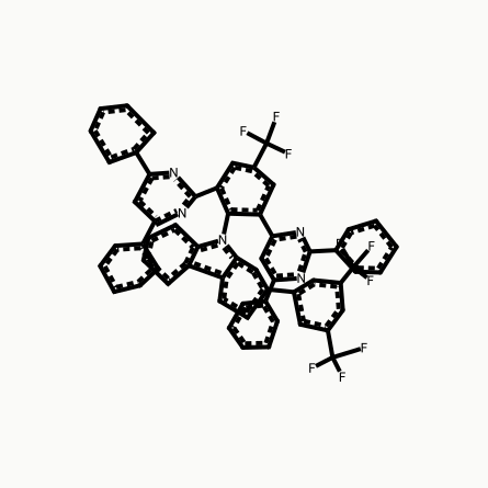 FC(F)(F)c1cc(-c2ccc3c4ccccc4n(-c4c(-c5cc(-c6ccccc6)nc(-c6ccccc6)n5)cc(C(F)(F)F)cc4-c4nc(-c5ccccc5)cc(-c5ccccc5)n4)c3c2)cc(C(F)(F)F)c1